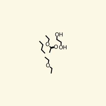 CCCC.CCOC(C)=O.CCOCC.OCCO